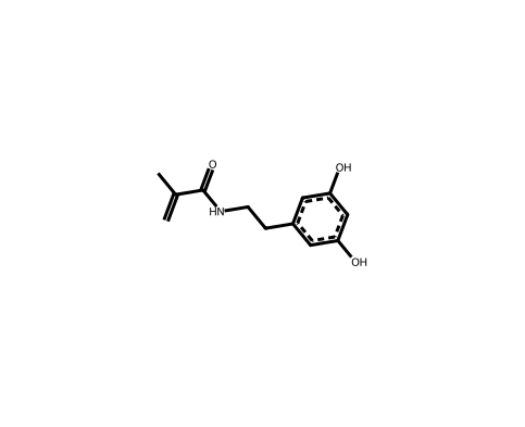 C=C(C)C(=O)NCCc1cc(O)cc(O)c1